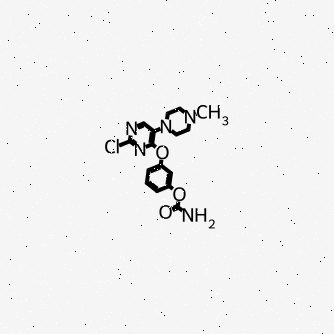 CN1CCN(c2cnc(Cl)nc2Oc2cccc(OC(N)=O)c2)CC1